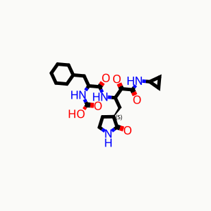 O=C(O)NC(CC1CCCCC1)C(=O)NC(C[C@@H]1CCNC1=O)C(=O)C(=O)NC1CC1